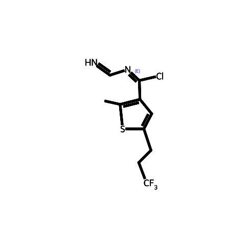 Cc1sc(CCC(F)(F)F)cc1/C(Cl)=N\C=N